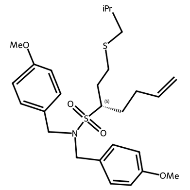 C=CCC[C@@H](CCSCC(C)C)S(=O)(=O)N(Cc1ccc(OC)cc1)Cc1ccc(OC)cc1